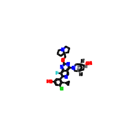 Oc1cc(Cl)c(C2CC2)c(-c2ncc3c(N4C[C@H]5C[C@@H](C4)[C@H](O)C5)nc(OCC45CCCN4CCC5)nc3c2F)c1